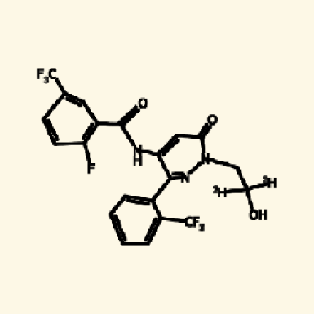 [2H]C([2H])(O)Cn1nc(-c2ccccc2C(F)(F)F)c(NC(=O)c2cc(C(F)(F)F)ccc2F)cc1=O